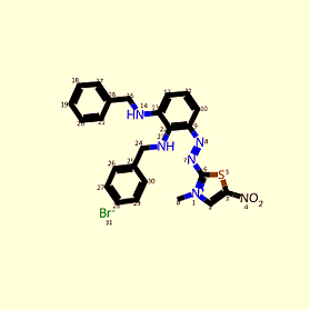 C[n+]1cc([N+](=O)[O-])sc1N=Nc1cccc(NCc2ccccc2)c1NCc1ccccc1.[Br-]